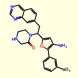 Nc1cc(C(Cc2ccc3cncnc3c2)N2CCNCC2=O)oc1-c1cccc([N+](=O)[O-])c1